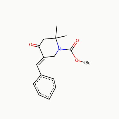 CC(C)(C)OC(=O)N1C/C(=C\c2ccccc2)C(=O)CC1(C)C